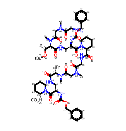 CC(C)[C@@H](C(=O)NC[C@@H](NC(=O)OCc1ccccc1)C(=O)N1CCCC[C@H]1C(=O)O)N(C)C(=O)CN(C)C(=O)CNC(=O)[C@@H]1CCCCN1C(=O)[C@@H](CNC(=O)[C@H]([C@@H](C)OC(C)(C)C)N(C)C(=O)CN(C)C(=O)CN)NC(=O)OCc1ccccc1